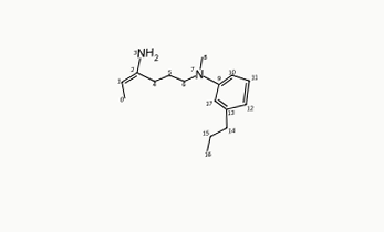 C/C=C(/N)CCCN(C)c1cccc(CCC)c1